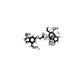 CC[C@]1(C)C[C@@H](OC(=O)COc2cc(CN)c3c(c2)B(O)OC3)[C@]2(C)[C@H](C)CC[C@]3(CCC(O)[C@H]32)[C@@H](C)[C@@H]1O